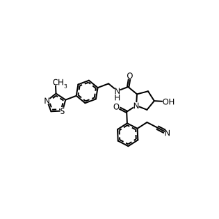 Cc1ncsc1-c1ccc(CNC(=O)C2CC(O)CN2C(=O)c2ccccc2CC#N)cc1